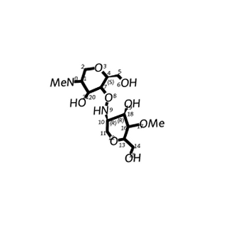 CNC1CO[C@@H](CO)C(ON[C@@H]2COC(CO)C(OC)[C@@H]2O)C1O